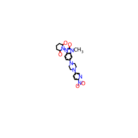 Cn1c(=O)n(N2C(=O)CCCC2=O)c2ccc(N3CCN(c4ccc([N+](=O)[O-])nc4)CC3)cc21